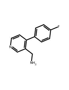 NCc1cnccc1-c1ccc(F)cc1